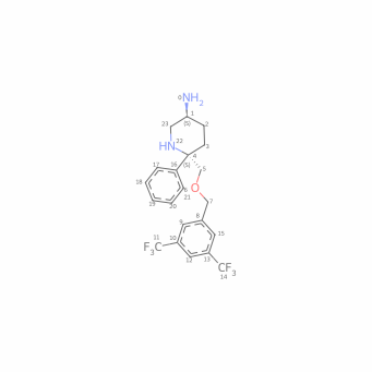 N[C@H]1CC[C@@](COCc2cc(C(F)(F)F)cc(C(F)(F)F)c2)(c2ccccc2)NC1